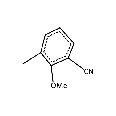 COc1c(C)[c]ccc1C#N